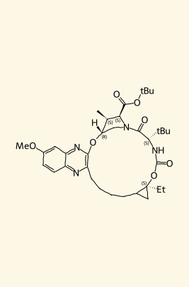 CC[C@]12CC1CCCCc1nc3ccc(OC)cc3nc1O[C@H]1CN(C(=O)[C@H](C(C)(C)C)NC(=O)O2)[C@H](C(=O)OC(C)(C)C)[C@@H]1C